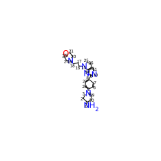 NC1CCN(c2ccc(-c3ncc4c(n3)N(CCCN3CCOCC3)CC4)cc2)CC1